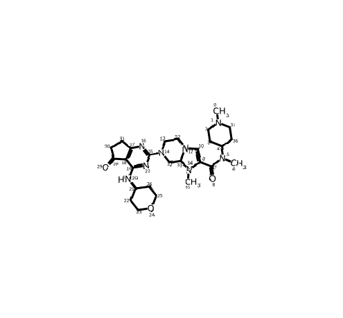 CN1CCC(N(C)C(=O)C2=CN3CCN(c4nc5c(c(NC6CCOCC6)n4)C(=O)CC5)CC3N2C)CC1